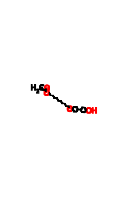 C=CC(=O)OCCCCCCCCCCCOc1ccc(-c2ccc(O)cc2)cc1